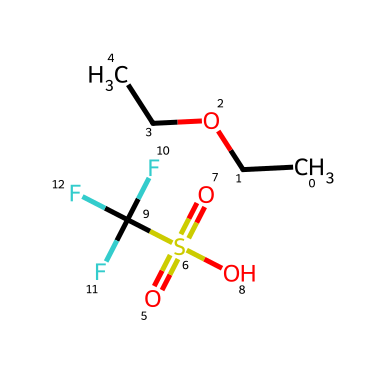 CCOCC.O=S(=O)(O)C(F)(F)F